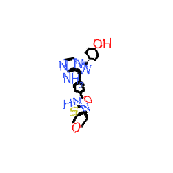 Nc1nccn2c1c(-c1ccc(C(=O)Nc3nc4c(s3)COCC4)cc1)nc2[C@H]1CC[C@H](O)CC1